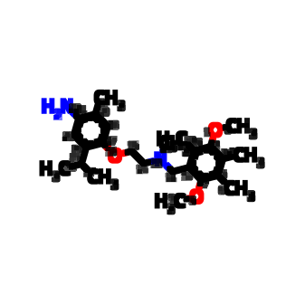 COc1c(C)c(C)c(OC)c(CN(C)CCOc2cc(C)c(N)cc2C(C)C)c1C